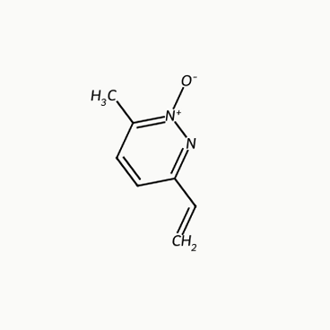 C=Cc1ccc(C)[n+]([O-])n1